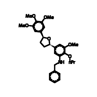 CCCOc1c(NCc2ccccc2)cc([C@@H]2CC[C@@H](c3cc(OC)c(OC)c(OC)c3)O2)cc1OC